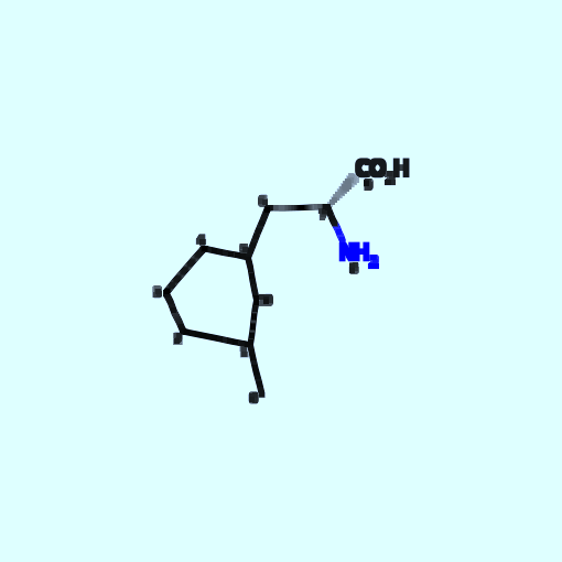 CC1CCCC(C[C@@H](N)C(=O)O)C1